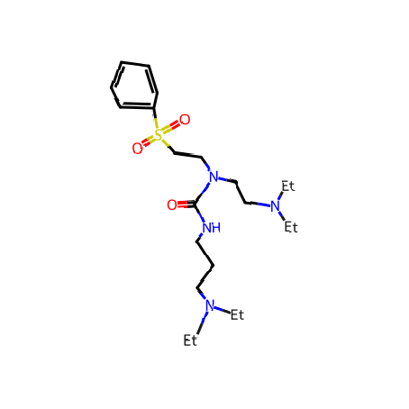 CCN(CC)CCCNC(=O)N(CCN(CC)CC)CCS(=O)(=O)c1ccccc1